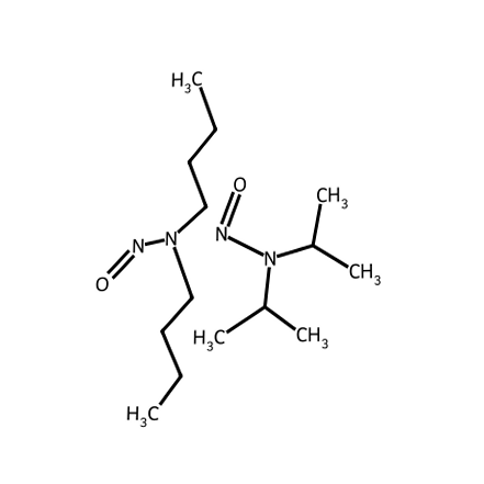 CC(C)N(N=O)C(C)C.CCCCN(CCCC)N=O